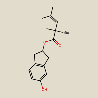 CC(C)=CC(C)(C(=O)OC1Cc2ccc(O)cc2C1)C(C)(C)C